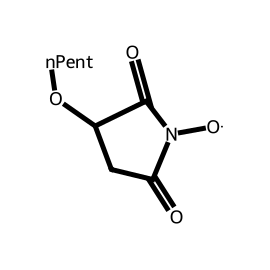 CCCCCOC1CC(=O)N([O])C1=O